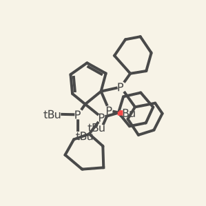 CC(C)(C)P(C(C)(C)C)C1(P(C2CCCCC2)C2CCCCC2)C=CC=CC1(P(C1CCCCC1)C1CCCCC1)P(C(C)(C)C)C(C)(C)C